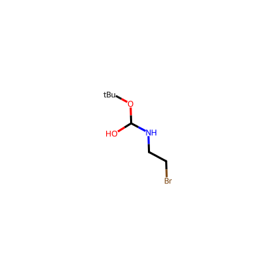 CC(C)(C)OC(O)NCCBr